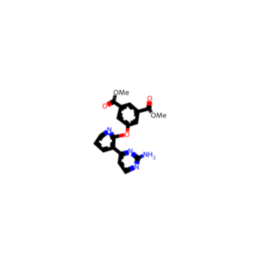 COC(=O)c1cc(Oc2ncccc2-c2ccnc(N)n2)cc(C(=O)OC)c1